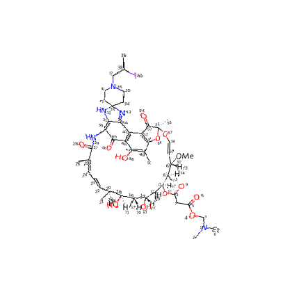 CCN(C)COC(=O)CC(=O)O[C@H]1[C@H](C)[C@H](O)[C@H](C)[C@@H](O)[C@@H](C)/C=C/C=C(/C)C(=O)NC2=C3NC4(CCN(CC(C)I)CC4)N=C3c3c(c(O)c(C)c4c3C(=O)[C@@](C)(O/C=C/[C@H](OC)[C@H]1C)O4)C2=O